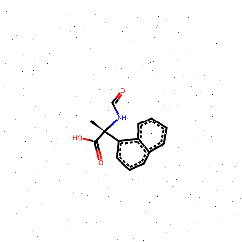 C[C@](NC=O)(C(=O)O)c1cccc2ccccc12